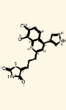 O=C1NC(=O)C(=CCCc2cc(-c3cn[nH]c3)c3ccc(Cl)c(Cl)c3n2)S1